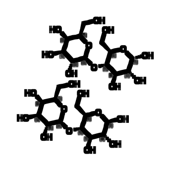 OC[C@H]1O[C@@H](O[C@H]2[C@H](O)[C@@H](O)[C@@H](O)O[C@@H]2CO)[C@H](O)[C@@H](O)[C@H]1O.OC[C@H]1O[C@@H](O[C@H]2[C@H](O)[C@@H](O)[C@H](O)O[C@@H]2CO)[C@H](O)[C@@H](O)[C@H]1O